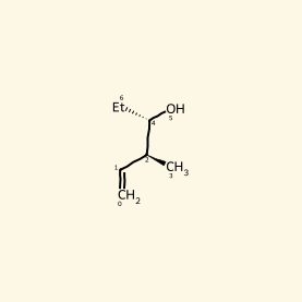 C=C[C@H](C)[C@@H](O)CC